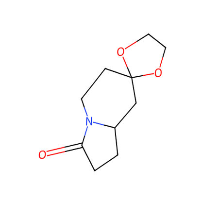 O=C1CCC2CC3(CCN12)OCCO3